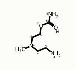 CN(CCN)CCOC(N)=O